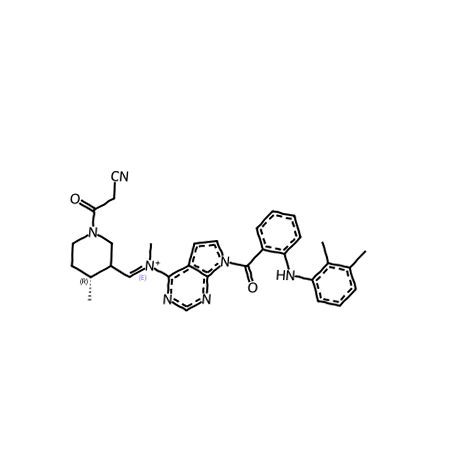 Cc1cccc(Nc2ccccc2C(=O)n2ccc3c(/[N+](C)=C/C4CN(C(=O)CC#N)CC[C@H]4C)ncnc32)c1C